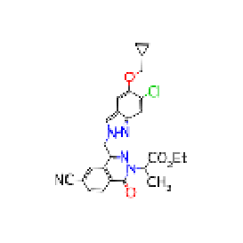 CCOC(=O)C(C)n1nc(Cn2cc3cc(OCC4CC4)c(Cl)cc3n2)c2cc(C#N)ccc2c1=O